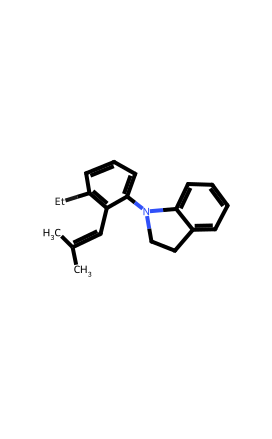 CCc1cccc(N2CCc3ccccc32)c1C=C(C)C